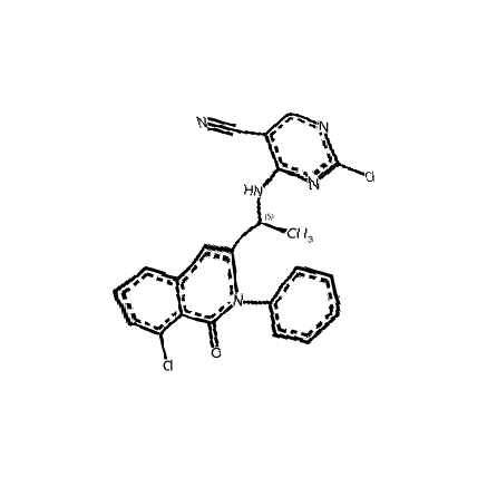 C[C@H](Nc1nc(Cl)ncc1C#N)c1cc2cccc(Cl)c2c(=O)n1-c1ccccc1